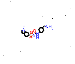 NCc1ccc(NC(=O)NS(=O)(=O)c2ccc3cc[nH]c3c2)cc1